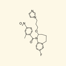 Cc1cc([N+](=O)[O-])ccc1C(=O)N1c2ccc(F)cc2CCCC1OCCCn1ccnc1